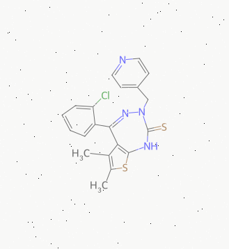 Cc1sc2c(c1C)C(c1ccccc1Cl)=NN(Cc1ccncc1)C(=S)N2